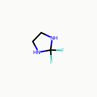 FC1(F)NCCN1